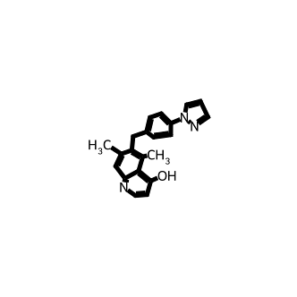 Cc1cc2nccc(O)c2c(C)c1Cc1ccc(-n2cccn2)cc1